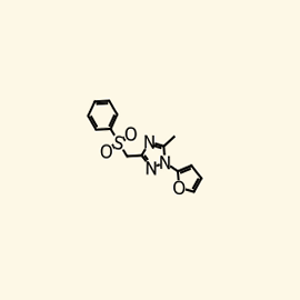 Cc1nc(CS(=O)(=O)c2ccccc2)nn1-c1ccco1